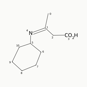 CC(CC(=O)O)=NC1CCCCC1